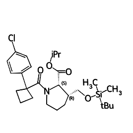 CC(C)OC(=O)[C@@H]1[C@H](CO[Si](C)(C)C(C)(C)C)CCCN1C(=O)C1(c2ccc(Cl)cc2)CCC1